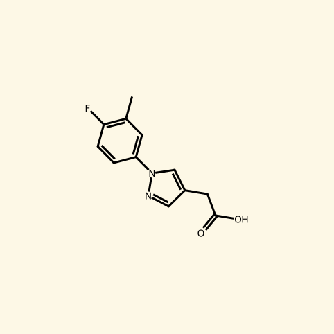 Cc1cc(-n2cc(CC(=O)O)cn2)ccc1F